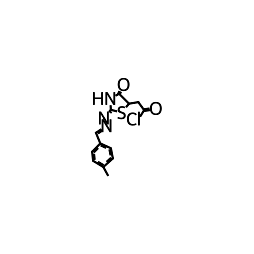 Cc1ccc(/C=N/N=C2/NC(=O)C(CC(=O)Cl)S2)cc1